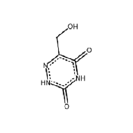 O=c1[nH]nc(CO)c(=O)[nH]1